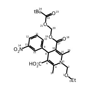 CCOCN1C(C)=C(C(=O)O)C(c2cccc([N+](=O)[O-])c2)C(C(=O)OCOC(=O)C(C)(C)C)=C1C